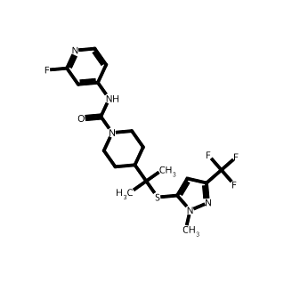 Cn1nc(C(F)(F)F)cc1SC(C)(C)C1CCN(C(=O)Nc2ccnc(F)c2)CC1